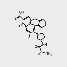 C[C@H](N)C(=O)NC1CCN(c2c(F)cn3c(=O)c(C(=O)O)cc4c3c2-c2ccccc2O4)C1